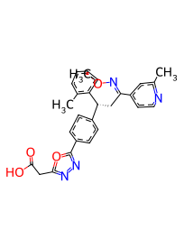 CO/N=C(\C[C@H](c1ccc(-c2nnc(CC(=O)O)o2)cc1)c1ccccc1C)c1ccnc(C)c1